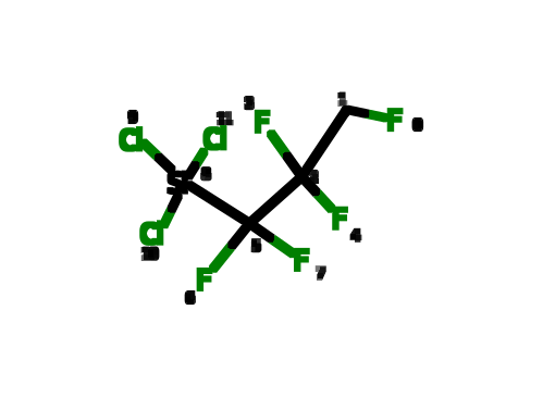 FCC(F)(F)C(F)(F)[Si](Cl)(Cl)Cl